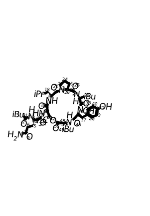 CCC(C)C(=O)N[C@@H](CCC(N)=O)C(=O)N[C@@H]1C(=O)N[C@@H](CC(C)C)C(=O)N2CCCC2C(=O)NC(C(C)CC)C(=O)N(C)C(Cc2ccc(O)cc2)C(=O)N[C@@H](C(C)CC)C(=O)OC1C